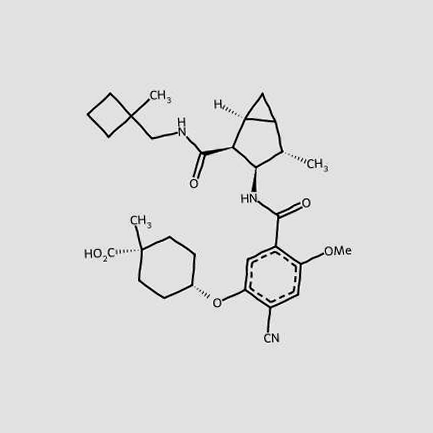 COc1cc(C#N)c(O[C@H]2CC[C@@](C)(C(=O)O)CC2)cc1C(=O)N[C@H]1[C@@H](C(=O)NCC2(C)CCC2)[C@H]2CC2[C@@H]1C